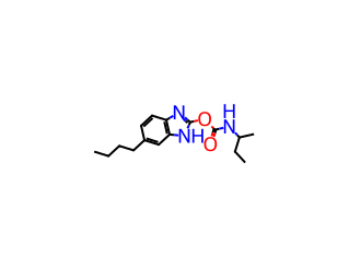 CCCCc1ccc2nc(OC(=O)NC(C)CC)[nH]c2c1